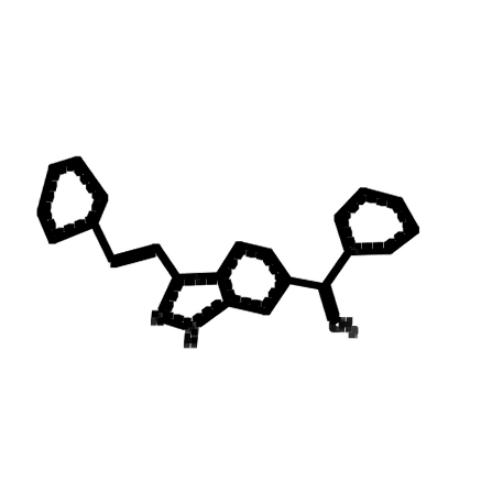 C=C(c1ccccc1)c1ccc2c(C=Cc3ccccc3)n[nH]c2c1